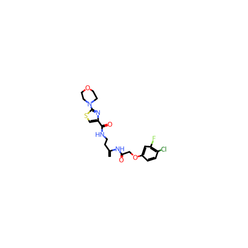 C=C(CCNC(=O)c1csc(N2CCOCC2)n1)NC(=O)COc1ccc(Cl)c(F)c1